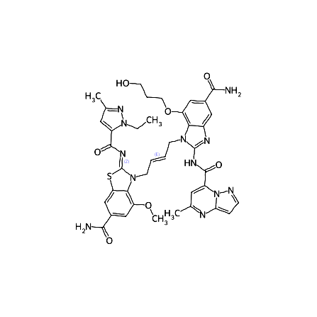 CCn1nc(C)cc1C(=O)/N=c1\sc2cc(C(N)=O)cc(OC)c2n1C/C=C/Cn1c(NC(=O)c2cc(C)nc3ccnn23)nc2cc(C(N)=O)cc(OCCCO)c21